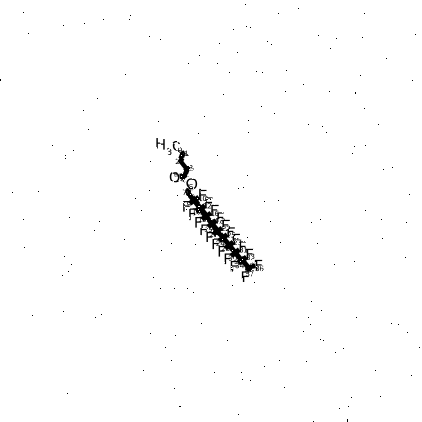 CCCCC(=O)OCC(F)(F)C(F)(F)C(F)(F)C(F)(F)C(F)(F)C(F)(F)C(F)(F)C(F)(F)C(F)(F)C(F)F